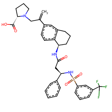 C=C(CN1CCC[C@H]1C(=O)O)c1ccc2c(c1)CCC[C@H]2NC(=O)C[C@@H](NS(=O)(=O)c1cccc(C(F)(F)F)c1)c1ccccc1